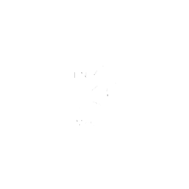 COCc1cc(I)c2c(c1O)CNC2=O